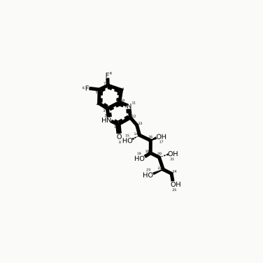 O=c1[nH]c2cc(F)c(F)cc2nc1C[C@@H](O)[C@@H](O)C(O)[C@H](O)[C@H](O)CO